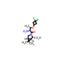 C[C@@H](OC1CC(F)(F)C1)[C@H](N)C(=O)N1C[C@H]2[C@@H]([C@H]1C(=O)O)C2(C)C